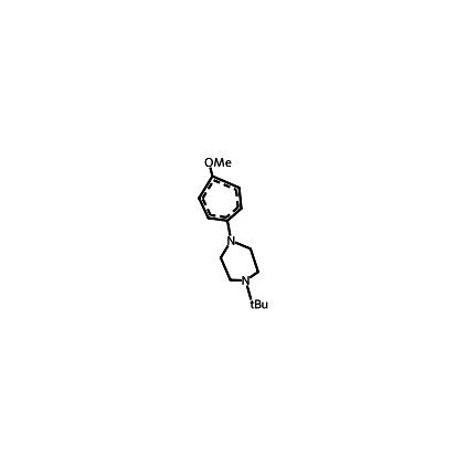 COc1ccc(N2CCN(C(C)(C)C)CC2)cc1